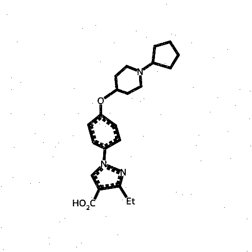 CCc1nn(-c2ccc(OC3CCN(C4CCCC4)CC3)cc2)cc1C(=O)O